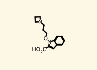 O=C(O)c1cc2ccccc2n1OCCCN1CCC1